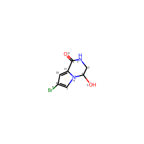 O=C1NCC(O)n2cc(Br)cc21